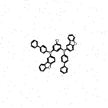 Clc1cc(N(c2ccc(-c3ccccc3)cc2)c2ccc3oc4ccccc4c3c2)cc(N(c2ccc(-c3ccccc3)cc2)c2ccc3oc4ccccc4c3c2)c1